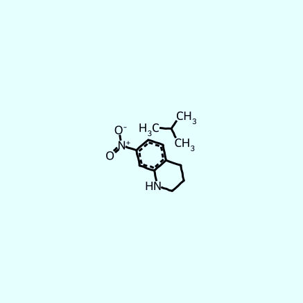 CC(C)C.O=[N+]([O-])c1ccc2c(c1)NCCC2